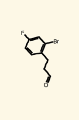 O=CCCc1ccc(F)cc1Br